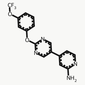 Nc1cc(-c2cnc(Oc3cccc(OC(F)(F)F)c3)nc2)ccn1